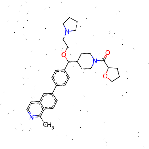 Cc1nccc2cc(-c3ccc(C(OCCN4CCCC4)C4CCN(C(=O)C5CCCO5)CC4)cc3)ccc12